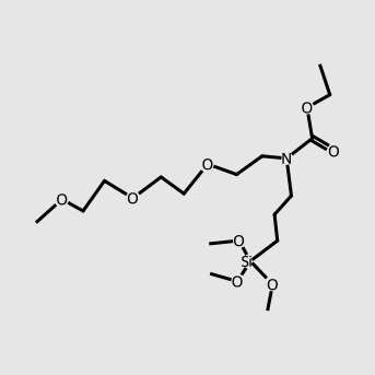 CCOC(=O)N(CCC[Si](OC)(OC)OC)CCOCCOCCOC